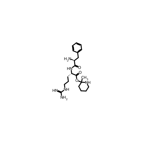 CC1(OC(=O)[C@H](CCCNC(=N)N)NC(=O)[C@@H](N)Cc2ccccc2)CCCCN1